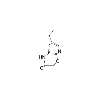 CCc1cnc2c(c1)NC(=O)CO2